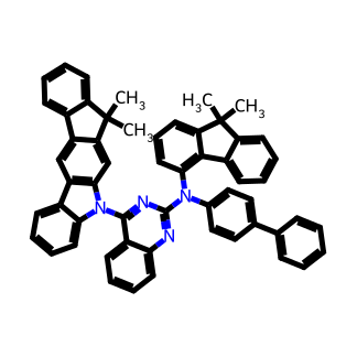 CC1(C)c2ccccc2-c2cc3c4ccccc4n(-c4nc(N(c5ccc(-c6ccccc6)cc5)c5cccc6c5-c5ccccc5C6(C)C)nc5ccccc45)c3cc21